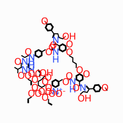 C=CCOC(=O)NC(C(=O)NC(C)C(=O)Nc1ccc(COC(=O)Nc2cc(OCCCCCOc3cc(NC(=O)OCc4ccc(O[C@H]5O[C@](CC=C)(C(=O)O)[C@@H](OC(=O)OCC=C)[C@H](OC(=O)OCC=C)[C@H]5OC(=O)OCC=C)c([N+](=O)[O-])c4)c(C(=O)N4C=C(c5ccc(OC)cc5)CC4CO)cc3OC)c(OC)cc2C(=O)N2C=C(c3ccc(OC)cc3)CC2CO)cc1)C(C)C